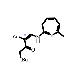 CC(=O)/C(=C/NC1=NC(C)=CC=CC1)C(=O)CC(C)(C)C